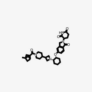 CC12CC(C1)C(C(=O)N1CCC(C3CN([C@H]4CCCC[C@H]4Oc4ccc5c(c4)CN(C4CCC(=O)NC4=O)C5=O)C3)CC1)C2